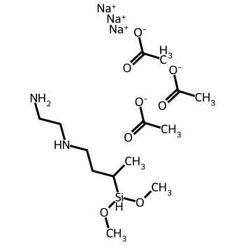 CC(=O)[O-].CC(=O)[O-].CC(=O)[O-].CO[SiH](OC)C(C)CCNCCN.[Na+].[Na+].[Na+]